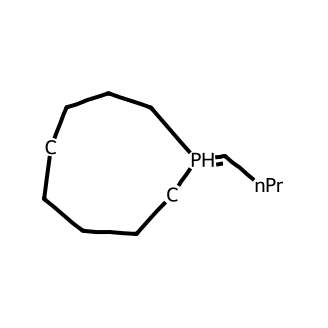 CCCC=[PH]1CCCCCCCC1